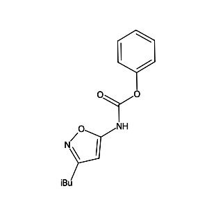 CCC(C)c1cc(NC(=O)Oc2ccccc2)on1